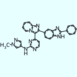 Cn1cc(Nc2nccc(-c3c(-c4ccc5[nH]c(-c6ccccc6)nc5c4)nc4ccccn34)n2)cn1